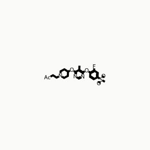 CC(=O)CCN1CCC(Oc2ncnc(Oc3ccc(S(C)(=O)=O)cc3F)c2C)CC1